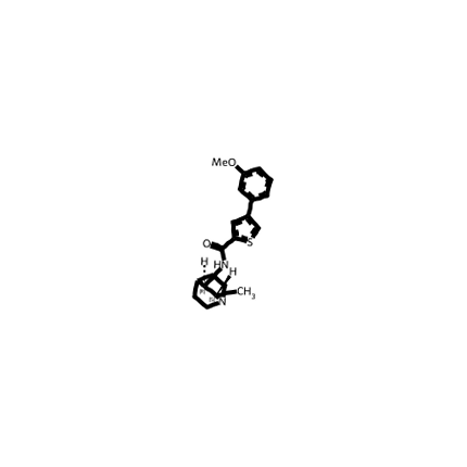 COc1cccc(-c2csc(C(=O)N[C@@H]3C4CCN(CC4)[C@H]3C)c2)c1